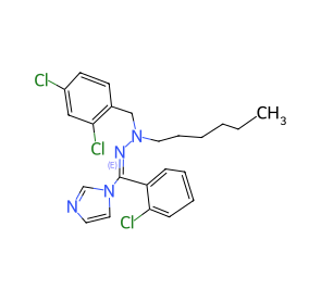 CCCCCCN(Cc1ccc(Cl)cc1Cl)/N=C(\c1ccccc1Cl)n1ccnc1